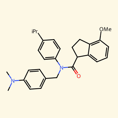 COc1cccc2c1CCC2C(=O)N(Cc1ccc(N(C)C)cc1)c1ccc(C(C)C)cc1